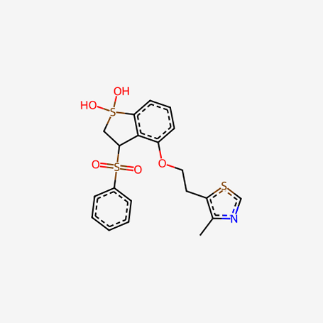 Cc1ncsc1CCOc1cccc2c1C(S(=O)(=O)c1ccccc1)CS2(O)O